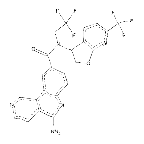 Nc1nc2ccc(C(=O)N(CC(F)(F)F)C3COc4nc(C(F)(F)F)ccc43)cc2c2cnccc12